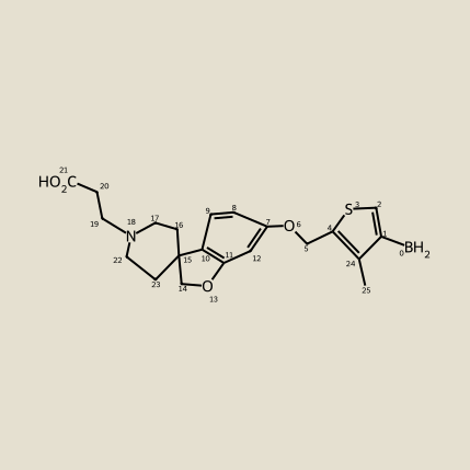 Bc1csc(COc2ccc3c(c2)OCC32CCN(CCC(=O)O)CC2)c1C